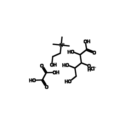 C[N+](C)(C)CCO.O=C(O)C(=O)O.O=C(O)C(O)C(O)C(O)CO.[Cl-]